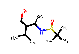 CC(C)C(CO)[C@@H](C)N[S+]([O-])C(C)(C)C